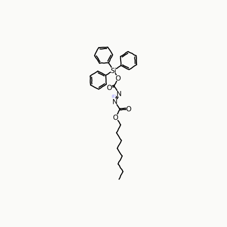 CCCCCCCCOC(=O)/N=N/C(=O)O[Si](c1ccccc1)(c1ccccc1)c1ccccc1